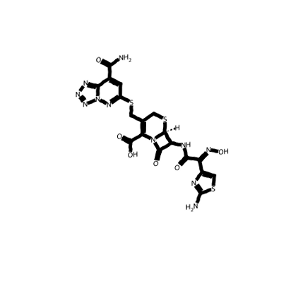 NC(=O)c1cc(SCC2=C(C(=O)O)N3C(=O)C(NC(=O)C(=NO)c4csc(N)n4)[C@@H]3SC2)nn2nnnc12